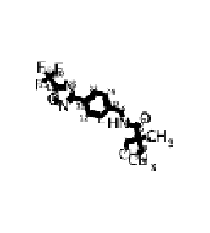 CCC(C)(CC)C(=O)NCc1ccc(-c2noc(C(F)(F)F)n2)cc1